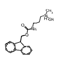 C[SiH](O)CCCNC(=O)OCC1c2ccccc2-c2ccccc21